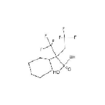 O=P(O)(O)C(CC(F)(F)F)(C1CCCCC1)C(F)(F)F